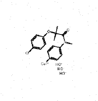 CN(C(=O)C(C)(C)Oc1ccc(Cl)cc1)c1cc[c]([Ge+3])cc1.[OH-].[OH-].[OH-]